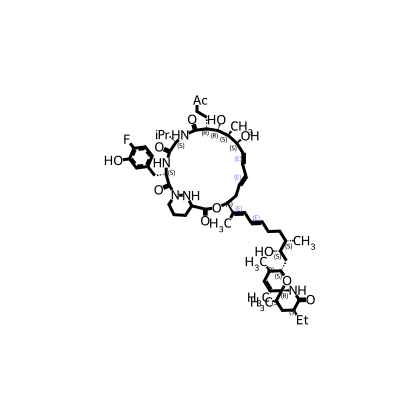 CC[C@H]1C[C@H](C)[C@@]2(NC1=O)O[C@@H](C[C@H](O)[C@@H](C)CC/C=C/C=C(\C)[C@@H]1C/C=C/C=C/[C@H](O)[C@H](C)[C@@H](O)[C@@H](CCC(C)=O)C(=O)N[C@@H](C(C)C)C(=O)N[C@@H](Cc3ccc(F)c(O)c3)C(=O)N3CCCC(N3)C(=O)O1)[C@H](C)C=C2C